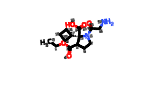 CCOC(=O)C1CCN(C(=O)CN)[C@@]1(C(=O)O)C1CCC1